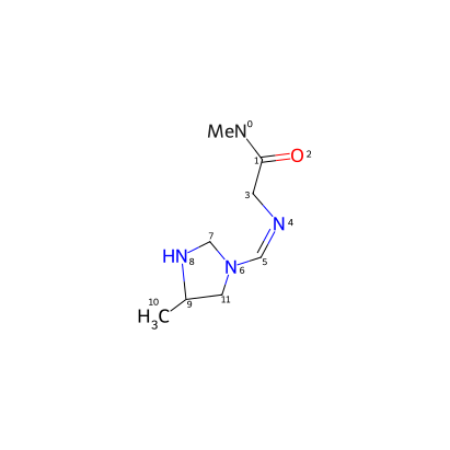 CNC(=O)C/N=C\N1CNC(C)C1